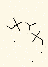 CC(OC(C)(C)CN)OC(C)(C)CN